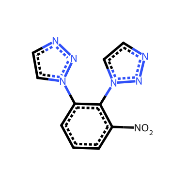 O=[N+]([O-])c1cccc(-n2ccnn2)c1-n1ccnn1